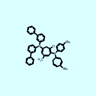 CC1=CC(N(C2=CC=C(C(C)(C)C)C=CC2)c2ccc(C(C)(C)C)cc2)=C(Cl)CC(N(c2cccc(-c3ccccc3)c2)c2cccc(-c3ccccc3)c2)=C1